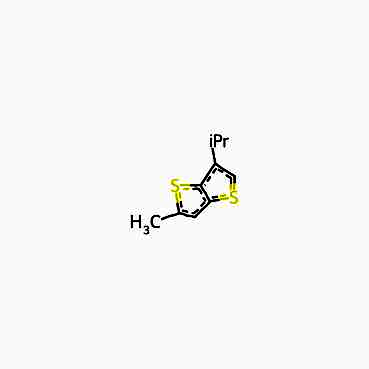 Cc1cc2scc(C(C)C)c2s1